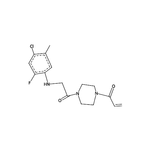 C=CC(=O)N1CCN(C(=O)CNc2cc(C)c(Cl)cc2F)CC1